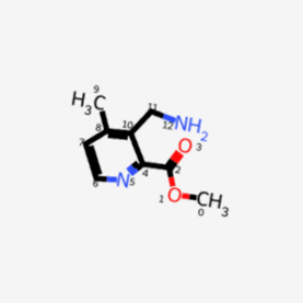 COC(=O)c1nccc(C)c1CN